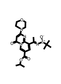 C/C(=N\[S@@+]([O-])C(C)(C)C)c1cc(C(=O)OC(C)C)cn2c(=O)cc(N3CCOCC3)nc12